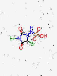 O=C1C(Br)N(NS(=O)(=O)O)C(=O)N1Br